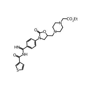 CCOC(=O)CN1CCN(CC2CN(c3ccc(C(=N)NC(=O)c4ccsc4)cc3)C(=O)O2)CC1